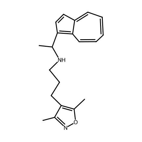 Cc1noc(C)c1CCCNC(C)c1ccc2cccccc1-2